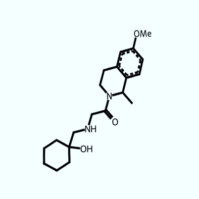 COc1ccc2c(c1)CCN(C(=O)CNCC1(O)CCCCC1)C2C